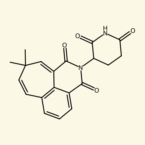 CC1(C)C=Cc2cccc3c2C(=C1)C(=O)N(C1CCC(=O)NC1=O)C3=O